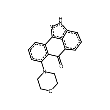 O=C1c2c(cccc2N2CCOCC2)-c2n[nH]c3cccc1c23